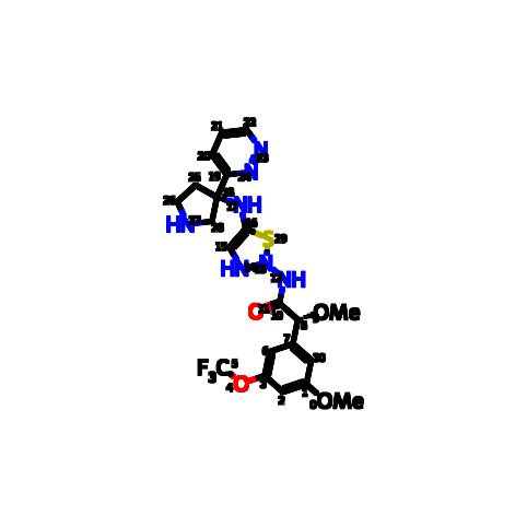 COc1cc(OC(F)(F)F)cc([C@@H](OC)C(=O)NN2NC=C(N[C@]3(c4cccnn4)CCNC3)S2)c1